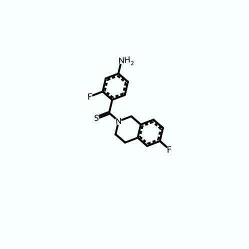 Nc1ccc(C(=S)N2CCc3cc(F)ccc3C2)c(F)c1